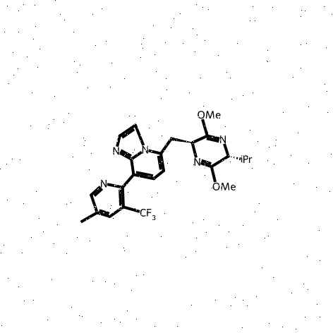 COC1=N[C@H](C(C)C)C(OC)=N[C@H]1Cc1ccc(-c2ncc(C)cc2C(F)(F)F)c2nccn12